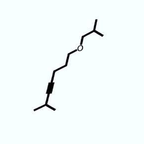 CC(C)C#CCCCOCC(C)C